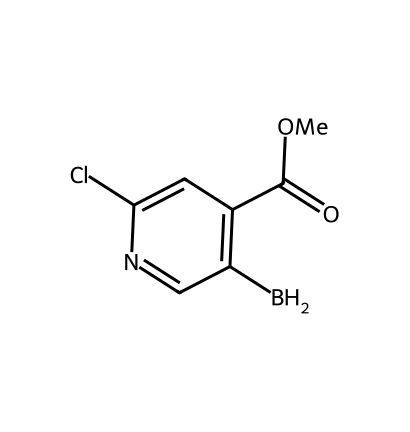 Bc1cnc(Cl)cc1C(=O)OC